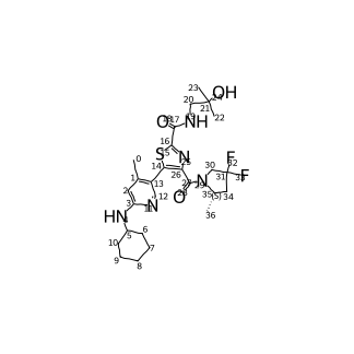 Cc1cc(NC2CCCCC2)ncc1-c1sc(C(=O)NCC(C)(C)O)nc1C(=O)N1CC(F)(F)C[C@@H]1C